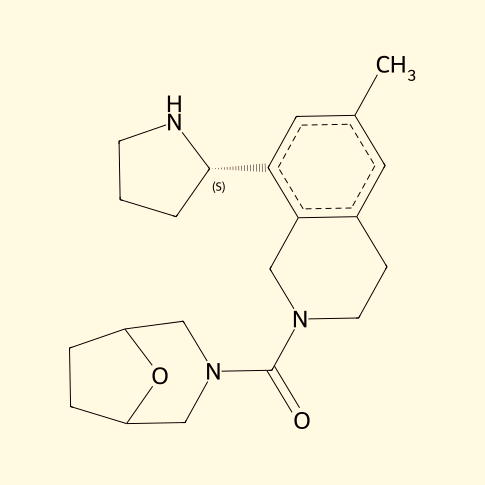 Cc1cc2c(c([C@@H]3CCCN3)c1)CN(C(=O)N1CC3CCC(C1)O3)CC2